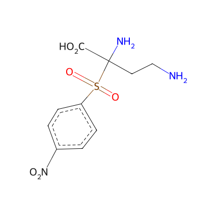 NCCC(N)(C(=O)O)S(=O)(=O)c1ccc([N+](=O)[O-])cc1